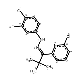 CC(C)(C)C(=NNc1ccc(Cl)c(F)c1)c1cccc(Cl)n1